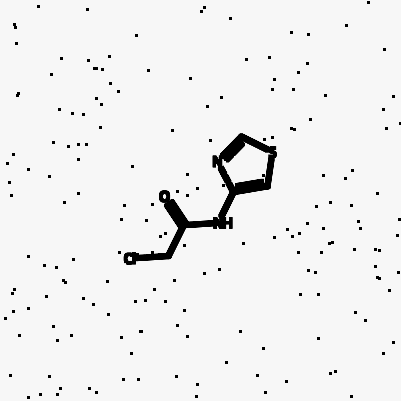 O=C(CCl)Nc1cscn1